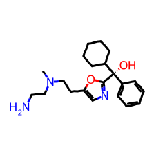 CN(CCN)CCc1cnc([C@](O)(c2ccccc2)C2CCCCC2)o1